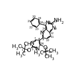 CC(C)(C)Oc1ncc(-c2ccc3nc(N)nc(-c4ccccc4)c3n2)c(OC(C)(C)C)n1